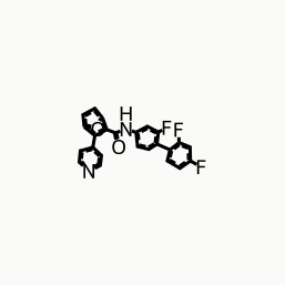 O=C(Nc1ccc(-c2ccc(F)cc2F)c(F)c1)c1c(-c2ccncc2)c2ccc1o2